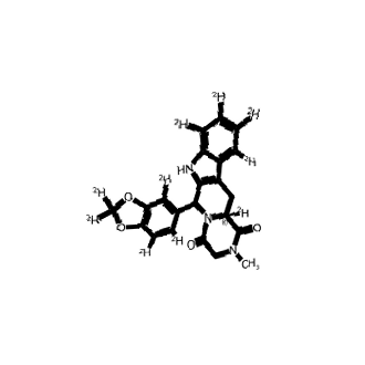 [2H]c1c([2H])c(C2c3[nH]c4c([2H])c([2H])c([2H])c([2H])c4c3C[C@]3([2H])C(=O)N(C)CC(=O)N23)c([2H])c2c1OC([2H])([2H])O2